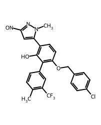 Cc1ccc(-c2c(OCc3ccc(Cl)cc3)ccc(-c3cc(N=O)nn3C)c2O)cc1C(F)(F)F